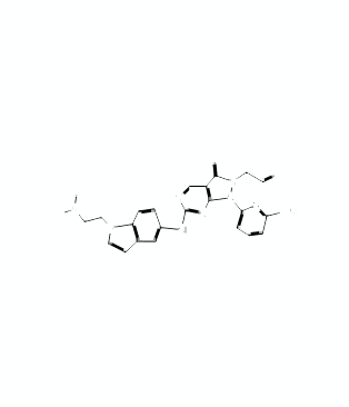 C=CCn1c(=O)c2cnc(Nc3ccc4c(ccn4CCN(C)C)c3)nc2n1-c1cccc(OC)n1